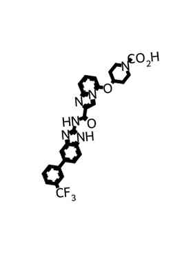 O=C(Nc1nc2cc(-c3cccc(C(F)(F)F)c3)ccc2[nH]1)c1cn2c(OC3CCN(C(=O)O)CC3)cccc2n1